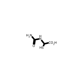 NC(=O)NC(S)C(=O)O